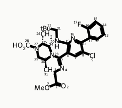 COC(=O)CN=C(c1cc(Cl)c(-c2ccccc2F)nc1NCC(C)(C)C)N1C[C@@H](C)N(C(=O)O)C[C@@H]1C